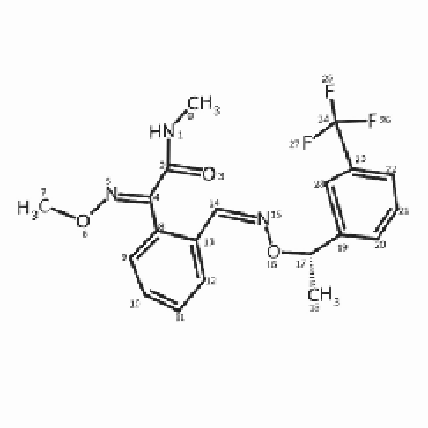 CNC(=O)/C(=N/OC)c1ccccc1/C=N\O[C@@H](C)c1cccc(C(F)(F)F)c1